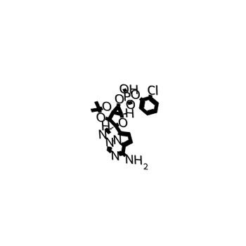 CC1(C)O[C@@H]2[C@@]3(O1)C(OP(=O)(O)Oc1ccccc1Cl)[C@H]3O[C@@]2(C#N)c1ccc2c(N)ncnn12